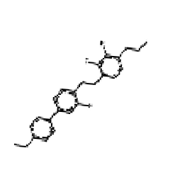 CCCc1ccc(CCc2ccc(-c3ccc(CC)cc3)cc2F)c(F)c1F